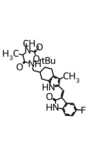 Cc1c(C=C2C(=O)Nc3ccc(F)cc32)[nH]c2c1CCC(CNC(=O)C(C)N(C)C(=O)OC(C)(C)C)C2